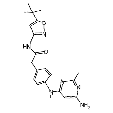 Cc1nc(N)cc(Nc2ccc(CC(=O)Nc3cc(C(C)(C)C)on3)cc2)n1